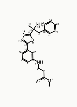 COC(=O)CCNc1cccc(-c2nnc([C@](C)(N)Cc3ccccc3)o2)c1